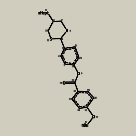 CCCCCCCC1CSC(c2ccc(OC(=O)c3ccc(OCCCC)cc3)cc2)SC1